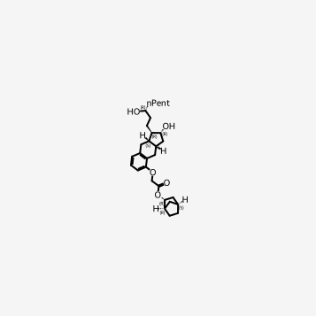 CCCCC[C@@H](O)CC[C@@H]1[C@H]2Cc3cccc(OCC(=O)O[C@@H]4C[C@H]5CC[C@@H]4C5)c3C[C@H]2C[C@H]1O